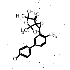 CC1(C)OC(C)(C)C2(OC2c2cc(-c3ccc(Cl)cc3)ccc2C(F)(F)F)C1=O